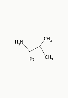 CC(C)CN.[Pt]